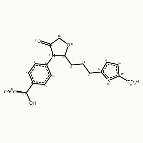 CCCCC[C@H](O)c1ccc(N2C(=O)COC2CCCc2ccc(C(=O)O)s2)cc1